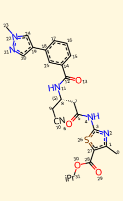 Cc1nc(NC(=O)C[C@H](CC#N)NC(=O)c2cccc(-c3cnn(C)c3)c2)sc1C(=O)OC(C)C